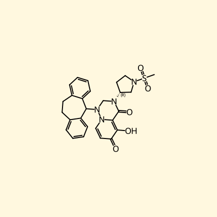 CS(=O)(=O)N1CC[C@@H](N2CN(C3c4ccccc4CCc4ccccc43)n3ccc(=O)c(O)c3C2=O)C1